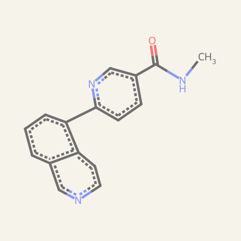 CNC(=O)c1ccc(-c2cccc3cnccc23)nc1